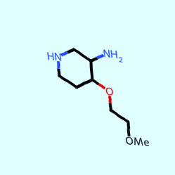 COCCOC1CCNCC1N